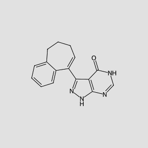 O=c1[nH]cnc2[nH]nc(C3=CCCCc4ccccc43)c12